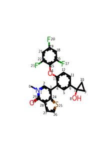 Cn1cc(-c2cc(C3(O)CC3)ccc2Oc2c(F)cc(F)cc2F)c2sccc2c1=O